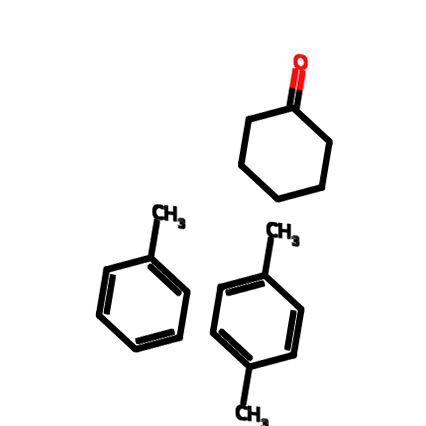 Cc1ccc(C)cc1.Cc1ccccc1.O=C1CCCCC1